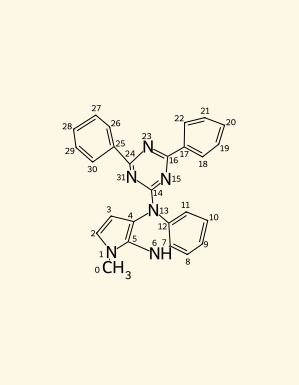 Cn1ccc2c1Nc1ccccc1N2c1nc(-c2ccccc2)nc(-c2ccccc2)n1